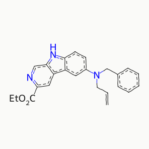 C=CCN(Cc1ccccc1)c1ccc2[nH]c3cnc(C(=O)OCC)cc3c2c1